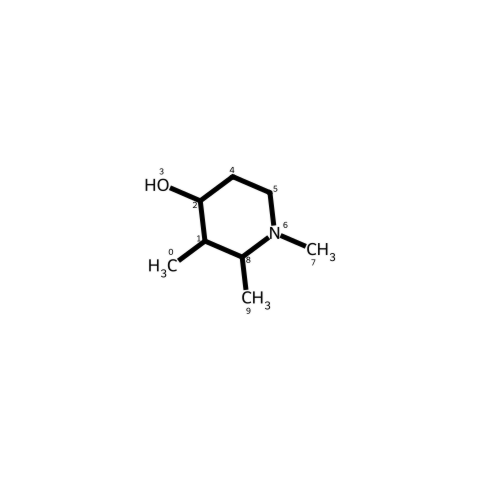 CC1C(O)CCN(C)C1C